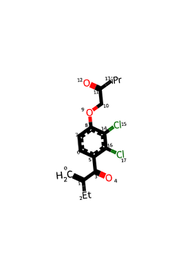 C=C(CC)C(=O)c1ccc(OCC(=O)C(C)C)c(Cl)c1Cl